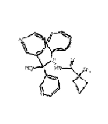 O=C(N[C@@H](c1ccccc1)C(O)(c1cccnc1)c1cccnc1)C1(C(F)(F)F)CCC1